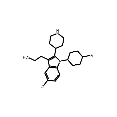 CC(C)C1CCC(n2c(C3CCNCC3)c(CCN)c3cc(Cl)ccc32)CC1